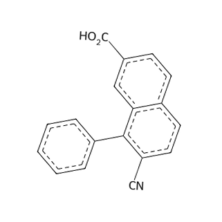 N#Cc1ccc2ccc(C(=O)O)cc2c1-c1ccccc1